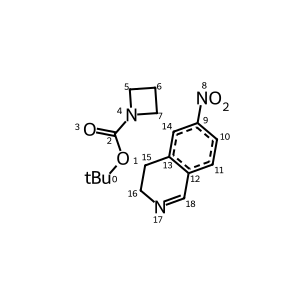 CC(C)(C)OC(=O)N1CCC1.O=[N+]([O-])c1ccc2c(c1)CCN=C2